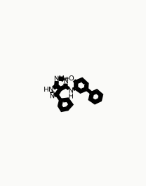 COc1ccc(-c2ccccc2)cc1Nc1ncnc2[nH]nc(-c3ccccc3)c12